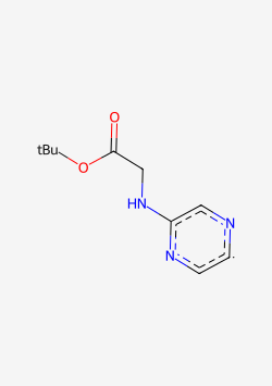 CC(C)(C)OC(=O)CNc1cn[c]cn1